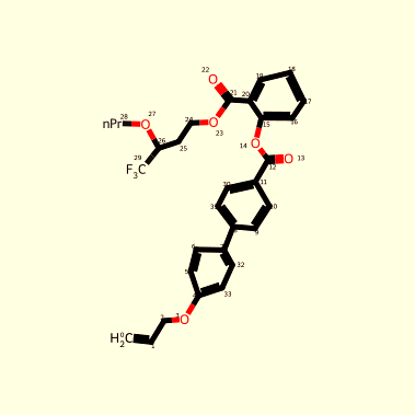 C=CCOc1ccc(-c2ccc(C(=O)Oc3ccccc3C(=O)OCCC(OCCC)C(F)(F)F)cc2)cc1